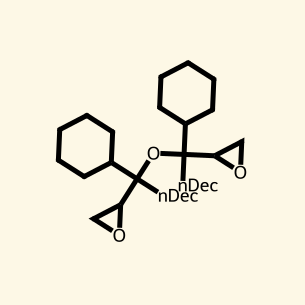 CCCCCCCCCCC(OC(CCCCCCCCCC)(C1CCCCC1)C1CO1)(C1CCCCC1)C1CO1